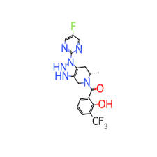 C[C@H]1CC2=C(CN1C(=O)c1cccc(C(F)(F)F)c1O)NNN2c1ncc(F)cn1